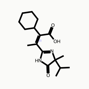 C/C(C1=NC(C)(C(C)C)C(=O)N1)=C(/C(=O)O)C1CCCCC1